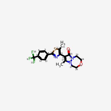 Cc1sc(-c2ccc(C(F)(F)F)cc2)nc1-c1c(C)n2n(c1=O)CCOCC2